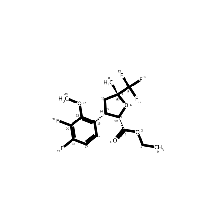 CCOC(=O)[C@H]1O[C@@](C)(C(F)(F)F)C[C@H]1c1ccc(F)c(F)c1OC